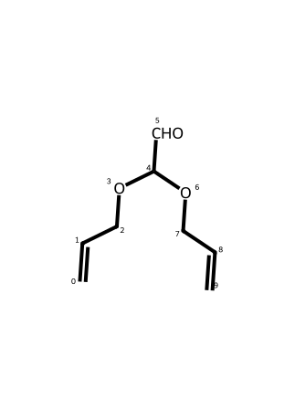 C=CCOC(C=O)OCC=C